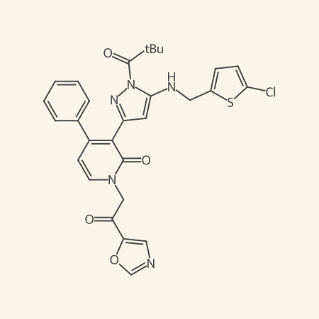 CC(C)(C)C(=O)n1nc(-c2c(-c3ccccc3)ccn(CC(=O)c3cnco3)c2=O)cc1NCc1ccc(Cl)s1